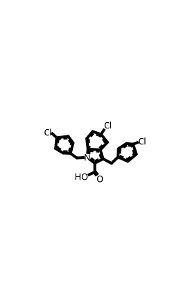 O=C(O)c1c(Cc2ccc(Cl)cc2)c2cc(Cl)ccc2n1Cc1ccc(Cl)cc1